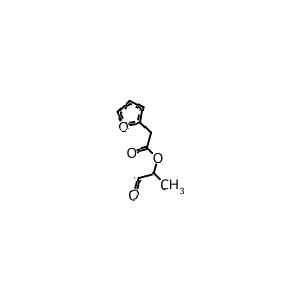 CC([C]=O)OC(=O)Cc1ccco1